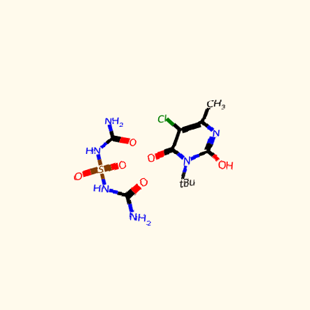 Cc1nc(O)n(C(C)(C)C)c(=O)c1Cl.NC(=O)NS(=O)(=O)NC(N)=O